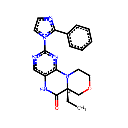 CC[C@]12COCCN1c1nc(-n3ccnc3-c3ccccc3)ncc1NC2=O